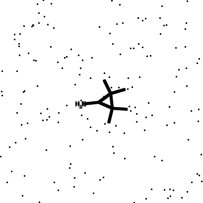 CC1(C)C(N)C1(C)C